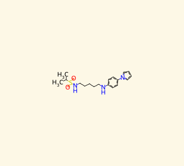 CC(C)S(=O)(=O)NCCCCCNc1ccc(-n2cccc2)cc1